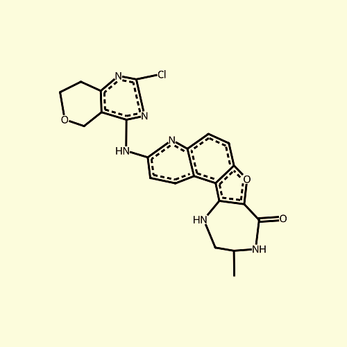 CC1CNc2c(oc3ccc4nc(Nc5nc(Cl)nc6c5COCC6)ccc4c23)C(=O)N1